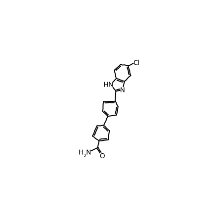 NC(=O)c1ccc(-c2ccc(-c3nc4cc(Cl)ccc4[nH]3)cc2)cc1